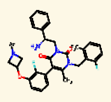 CC(=O)N1CC(Oc2cccc(-c3c(C)n(Cc4c(F)cccc4C(F)(F)F)c(=O)n(C[C@H](N)c4ccccc4)c3=O)c2F)C1